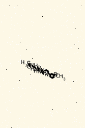 COc1cccc(-c2ccc3nc(NC(=O)NCCNC(C)=O)cn3n2)c1